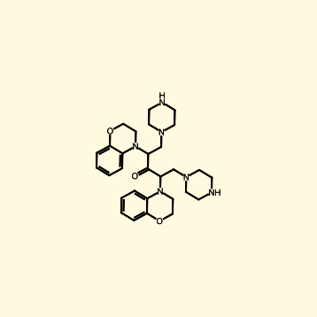 O=C(C(CN1CCNCC1)N1CCOc2ccccc21)C(CN1CCNCC1)N1CCOc2ccccc21